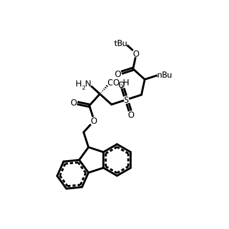 CCCCC(CS(=O)(=O)C[C@@](N)(C(=O)O)C(=O)OCC1c2ccccc2-c2ccccc21)C(=O)OC(C)(C)C